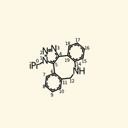 CC(C)n1nnc2c1-c1ccccc1CNc1ccccc1-2